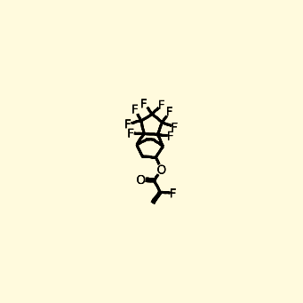 C=C(F)C(=O)OC1CC2CCC1C1(F)C(F)(F)C(F)(F)C(F)(F)C21F